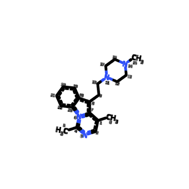 Cc1cnc(C)n2c1c(CCN1CCN(C)CC1)c1ccccc12